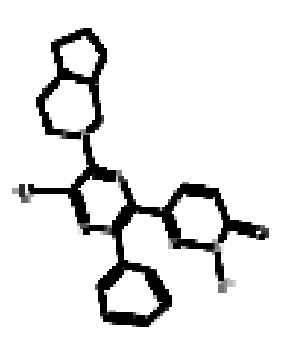 CC(C)n1nc(-c2nc(N3CCN4CCCC4C3)c(N)nc2-c2ccccc2)ccc1=O